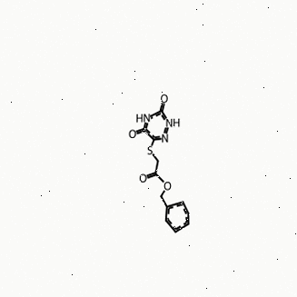 O=C(CSc1n[nH]c(=O)[nH]c1=O)OCc1ccccc1